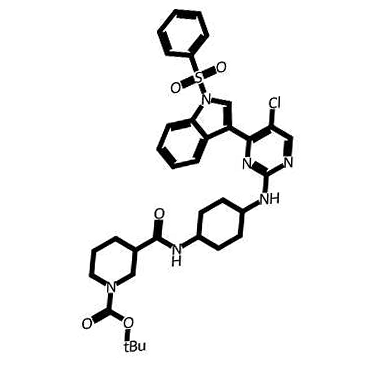 CC(C)(C)OC(=O)N1CCCC(C(=O)NC2CCC(Nc3ncc(Cl)c(-c4cn(S(=O)(=O)c5ccccc5)c5ccccc45)n3)CC2)C1